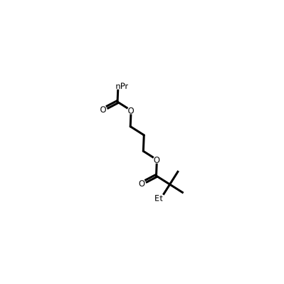 CCCC(=O)OCCCOC(=O)C(C)(C)CC